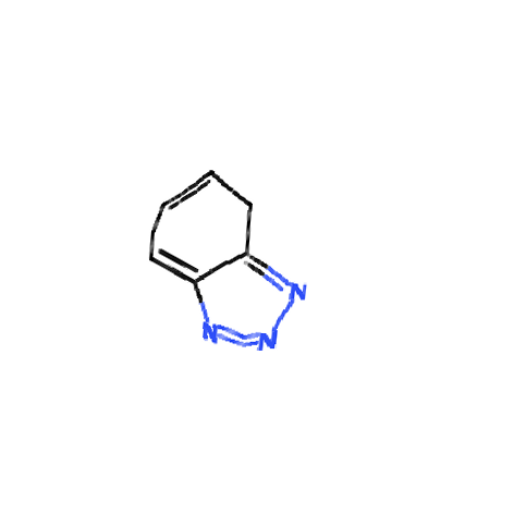 C1=CCC2=NN=NC2=C1